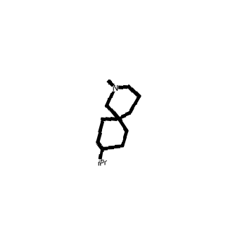 CC(C)C1CCC2(CCCN(C)C2)CC1